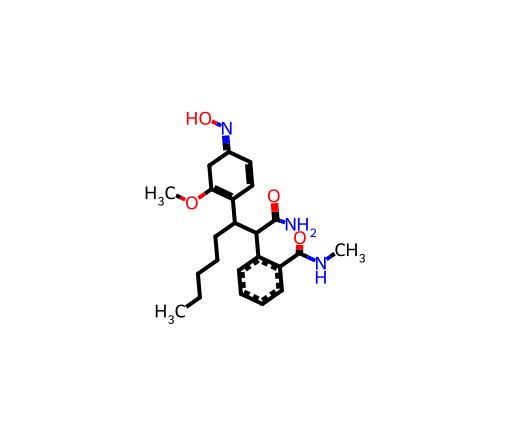 CCCCCC(C1=C(OC)CC(=NO)C=C1)C(C(N)=O)c1ccccc1C(=O)NC